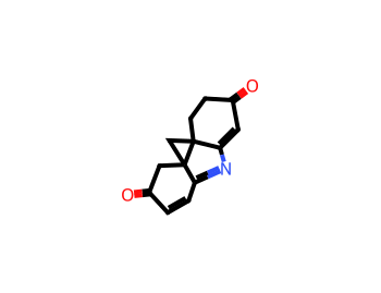 O=C1C=C2N=C3C=CC(=O)CC34CC24CC1